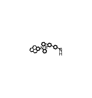 C1=CC2=CCc3cc(N4c5ccccc5B5c6cc(-c7ccc(C8CN8)cc7)ccc6-c6cccc4c65)cc4c3C2C(=C1)C=C4